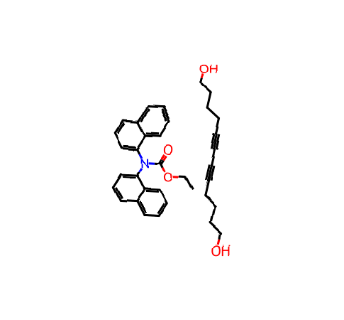 CCOC(=O)N(c1cccc2ccccc12)c1cccc2ccccc12.OCCCCC#CC#CCCCCO